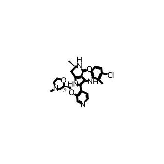 Cc1c(Cl)cccc1Nc1c(-c2ccncc2OC[C@H]2CN(C)CCO2)[nH]c2c1C(=O)N[C@H](C)C2